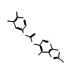 CCc1c(NC(=O)Nc2cnc(OC)c(Cl)c2)cnc2sc(C)nc12